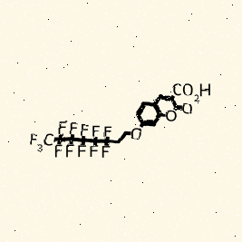 O=C(O)c1cc2ccc(OCCC(F)(F)C(F)(F)C(F)(F)C(F)(F)C(F)(F)C(F)(F)F)cc2oc1=O